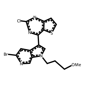 COCCCn1cc(-c2nc(Cl)nc3ccsc23)c2cc(Br)ncc21